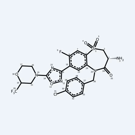 N[C@H]1CS(=O)(=O)c2cc(F)c(-c3noc(N4CCOC(C(F)(F)F)C4)n3)cc2N(Cc2ccc(Cl)cc2)C1=O